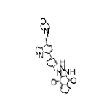 O=c1c2[nH][nH]n(Cc3ccc(-c4ccc(CCN5CCOCC5)c5cccnc45)cc3)c=2c(=O)c2ccccc12